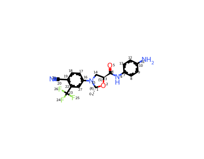 C[C@H]1O[C@H](C(=O)Nc2ccc(N)cc2)CN1c1ccc(C#N)c(C(F)(F)F)c1